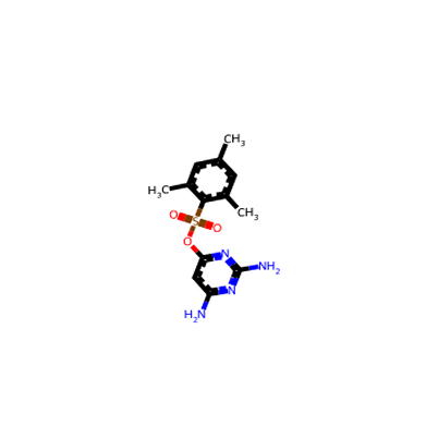 Cc1cc(C)c(S(=O)(=O)Oc2cc(N)nc(N)n2)c(C)c1